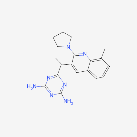 Cc1cccc2cc(C(C)c3nc(N)nc(N)n3)c(N3CCCC3)nc12